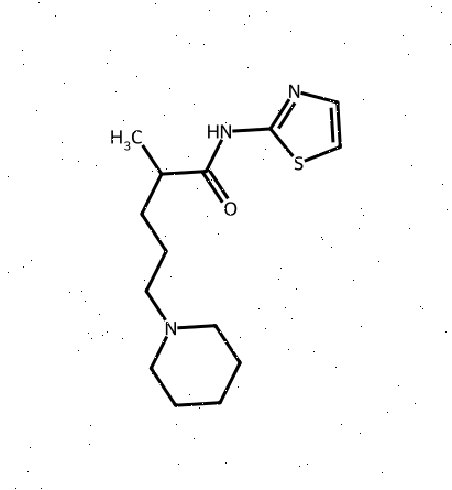 CC(CCCN1CCCCC1)C(=O)Nc1nccs1